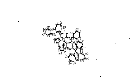 c1ccc(N2c3ccccc3C3(c4cc5c(cc42)C2(c4ccccc4-c4ccccc42)c2ccccc2-5)c2cccnc2-c2ncc(-n4c5ccccc5c5cnccc54)cc23)cc1